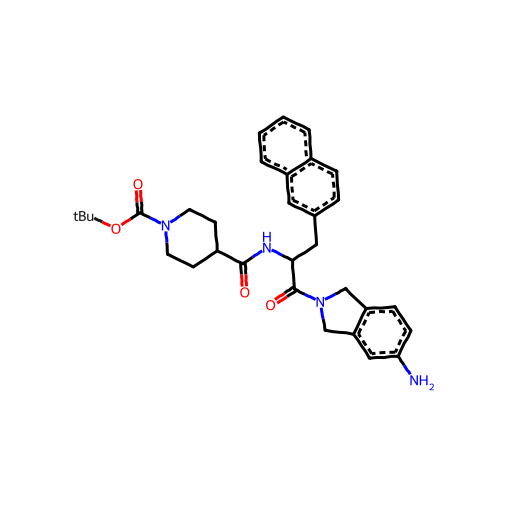 CC(C)(C)OC(=O)N1CCC(C(=O)NC(Cc2ccc3ccccc3c2)C(=O)N2Cc3ccc(N)cc3C2)CC1